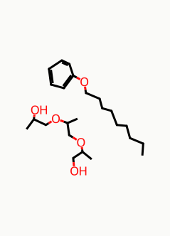 CC(O)COC(C)COC(C)CO.CCCCCCCCCOc1ccccc1